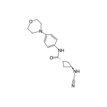 N#CN[C@H]1C[C@H](C(=O)Nc2ccc(N3CCOCC3)cc2)C1